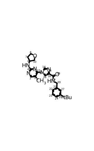 Cc1cnc(NC2CCOC2)nc1-n1cnc(C(=O)NCc2cccc(C(C)(C)C)c2)c1